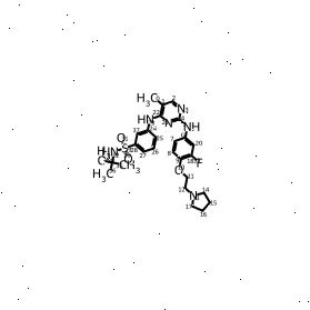 Cc1cnc(Nc2ccc(OCCN3CCCC3)c(F)c2)nc1Nc1cccc(S(=O)(=O)NC(C)(C)C)c1